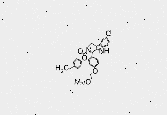 C=Cc1ccc(OC(=O)N2CCc3c([nH]c4ccc(Cl)cc34)C2c2ccc(OCCOC)cc2)cc1